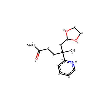 COC(=O)CCC(C#N)(CC1OCCO1)c1ccccn1